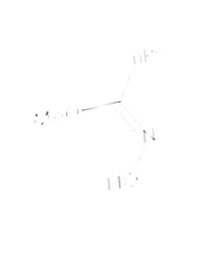 CCCC(=NO)OC